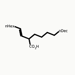 CCCCCC/C=C/C(CCCCCCCCCCCCCC)C(=O)O